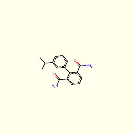 CC(C)c1cccc(-c2c(C(N)=O)cccc2C(N)=O)c1